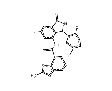 Cc1cc2cccc(C(=O)Nc3cc(Br)cc4c3C(c3cc(F)ccc3Cl)NC4=O)c2o1